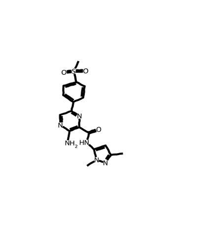 Cc1cc(NC(=O)c2nc(-c3ccc(S(C)(=O)=O)cc3)cnc2N)n(C)n1